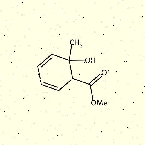 COC(=O)C1C=CC=CC1(C)O